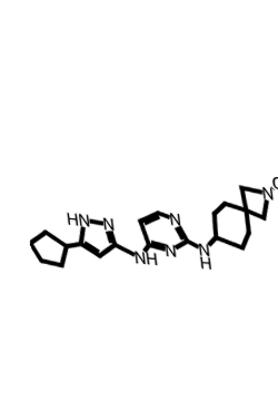 CN1CC2(CCC(Nc3nccc(Nc4cc(C5CCCC5)[nH]n4)n3)CC2)C1